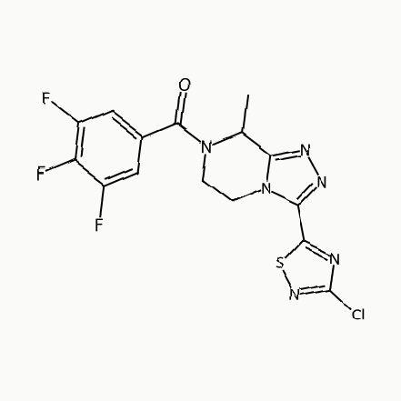 CC1c2nnc(-c3nc(Cl)ns3)n2CCN1C(=O)c1cc(F)c(F)c(F)c1